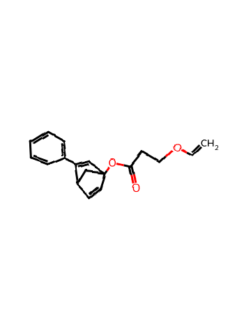 C=COCCC(=O)OC12C=CC(C1)C(c1ccccc1)=C2